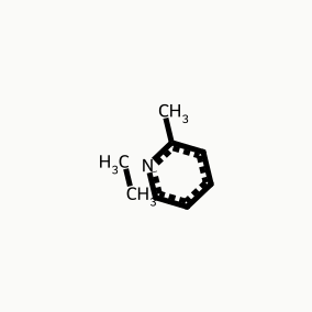 CC.Cc1ccccn1